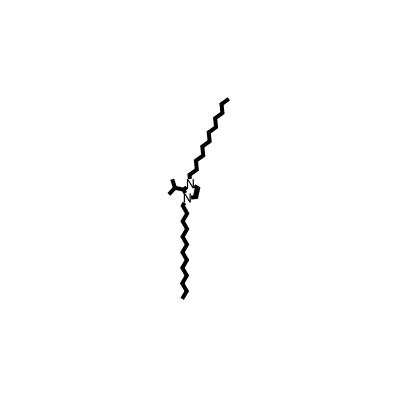 CCCCCCCCCCCCCN1C=CN(CCCCCCCCCCCC)C1C(C)C